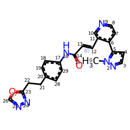 Cn1nccc1-c1ccncc1/C=C/C(=O)Nc1ccc(CCc2nnco2)cc1